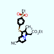 CCOC(=O)Cc1c(C)c(Sc2ccc(S(=O)(=O)CC)cc2)c2cc(C#N)ccn12